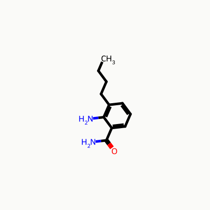 CCCCc1cccc(C(N)=O)c1N